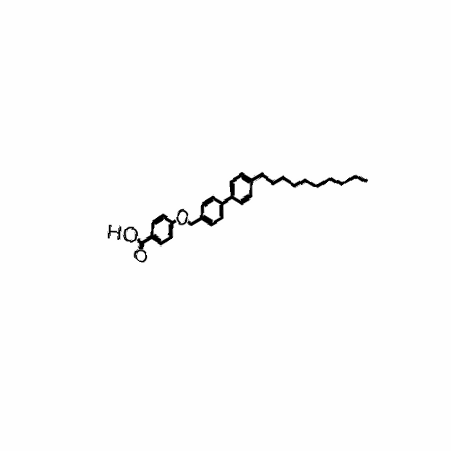 CCCCCCCCCCc1ccc(-c2ccc(COc3ccc(C(=O)O)cc3)cc2)cc1